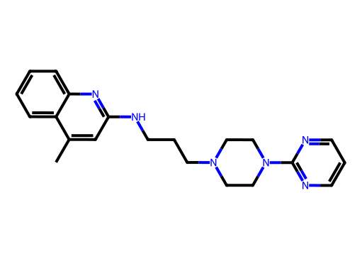 Cc1cc(NCCCN2CCN(c3ncccn3)CC2)nc2ccccc12